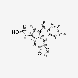 Cc1ccc(C(=O)n2c(C)c(CC(=O)O)c3cc4c(cc32)OCO4)cc1